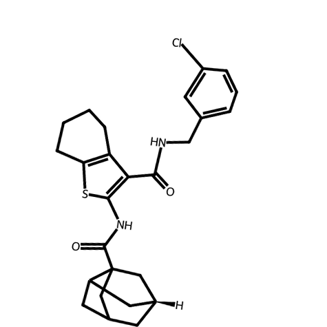 O=C(NCc1cccc(Cl)c1)c1c(NC(=O)C23CC4CC2C[C@@H](C4)C3)sc2c1CCCC2